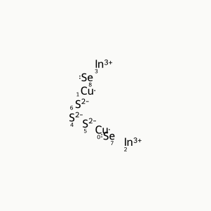 [Cu].[Cu].[In+3].[In+3].[S-2].[S-2].[S-2].[Se].[Se]